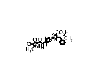 Cc1ccccc1Cc1nc(N2C[C@@H]3[C@H](C2)[C@@H]3NC(=O)c2[nH]c(C)c(Cl)c2Cl)sc1C(=O)O